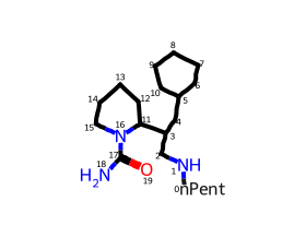 CCCCCNCC(CC1CCCCC1)C1CCCCN1C(N)=O